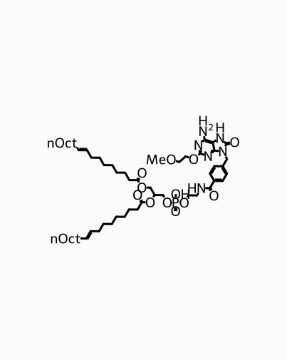 CCCCCCCCC=CCCCCCCCC(=O)OCC(COP(=O)(O)OCCNC(=O)c1ccc(Cn2c(=O)[nH]c3c(N)nc(OCCOC)nc32)cc1)OC(=O)CCCCCCCC=CCCCCCCCC